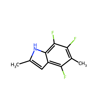 Cc1cc2c(F)c(C)c(F)c(F)c2[nH]1